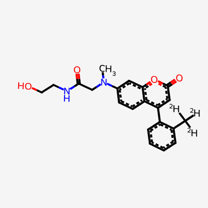 [2H]C([2H])([2H])c1ccccc1-c1cc(=O)oc2cc(N(C)CC(=O)NCCO)ccc12